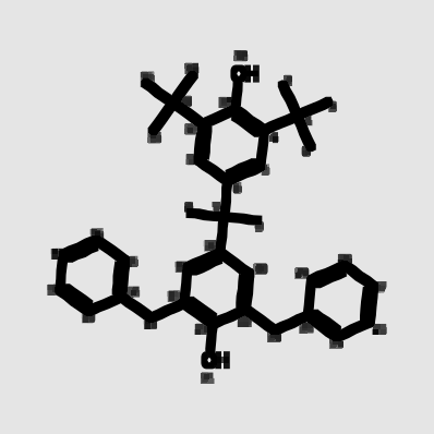 CC(C)(C)c1cc(C(C)(C)c2cc(Cc3ccccc3)c(O)c(Cc3ccccc3)c2)cc(C(C)(C)C)c1O